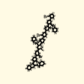 Cc1nc2c3ccc(-c4ccc(-c5cnc6c7ccc(-c8ccccc8Br)cc7c7nc8ccccc8n7c6c5)cc4Br)cc3n3c4ccccc4nc3c2cc1-c1ccc(-c2ccc3c4nc5ccccc5cc4c4nc5ccccc5n4c3c2)c(Br)c1